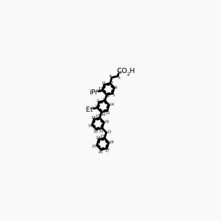 CCc1cc(-c2ccc(CCC(=O)O)cc2C(C)C)ccc1-c1cccc(Cc2ccccc2)c1